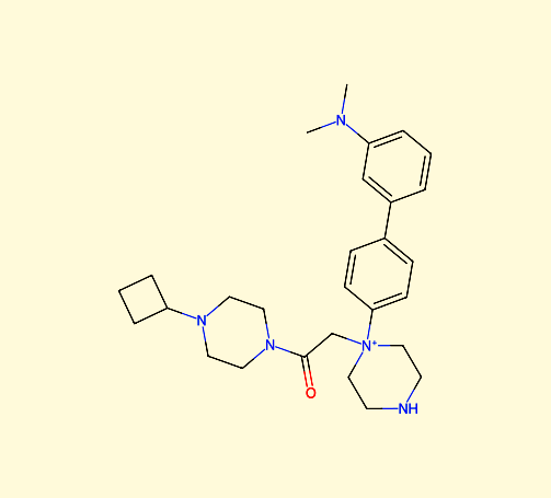 CN(C)c1cccc(-c2ccc([N+]3(CC(=O)N4CCN(C5CCC5)CC4)CCNCC3)cc2)c1